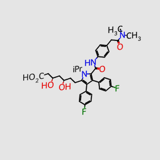 CC(C)n1c(CC[C@@H](O)C[C@@H](O)CC(=O)O)c(-c2ccc(F)cc2)c(-c2ccc(F)cc2)c1C(=O)Nc1ccc(CC(=O)N(C)C)cc1